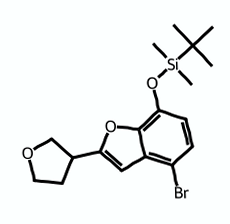 CC(C)(C)[Si](C)(C)Oc1ccc(Br)c2cc(C3CCOC3)oc12